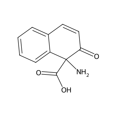 NC1(C(=O)O)C(=O)C=Cc2ccccc21